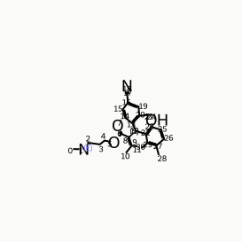 C/N=C/CCOC(=O)C(=C(C)C)[C@@H](c1ccc(C#N)cc1C)c1c(O)ccc(C)c1C